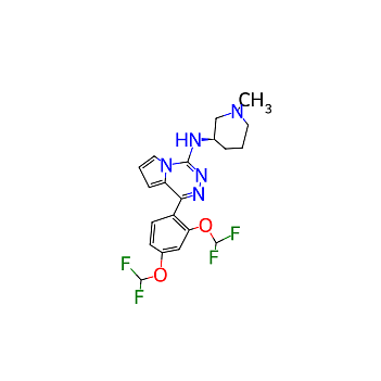 CN1CCC[C@@H](Nc2nnc(-c3ccc(OC(F)F)cc3OC(F)F)c3cccn23)C1